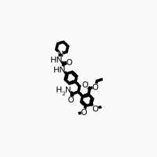 CCOC(=O)c1cc(OC)c(OC)cc1C(Cc1ccc(NC(=O)NN2CCCCC2)cc1)C(N)=O